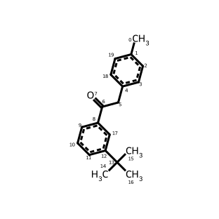 Cc1ccc(CC(=O)c2cccc(C(C)(C)C)c2)cc1